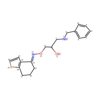 OC(CNCc1ccccc1)CO/N=C1\CCCc2sccc21